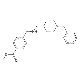 COC(=O)c1ccc(CNCC2CCN(Cc3ccccc3)CC2)cc1